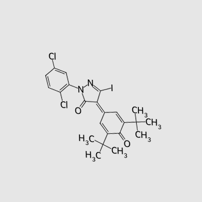 CC(C)(C)C1=CC(=C2C(=O)N(c3cc(Cl)ccc3Cl)N=C2I)C=C(C(C)(C)C)C1=O